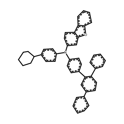 c1ccc(-c2ccc(-c3ccccc3)c(-c3ccc(N(c4ccc(C5CCCCC5)cc4)c4ccc5c(c4)oc4ccccc45)cc3)c2)cc1